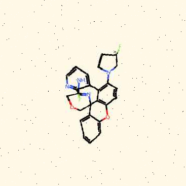 NC1=NC2(COC1)c1ccccc1Oc1ccc(N3CC[C@@H](F)C3)c(-c3cccnc3F)c12